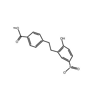 COC(=O)c1ccc(CCc2cc([N+](=O)[O-])ccc2O)cc1